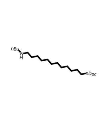 CCCCCCCCCCCCCCCCCCCCCCNCCCC